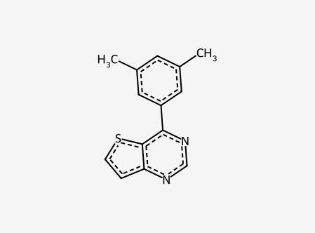 Cc1cc(C)cc(-c2ncnc3ccsc23)c1